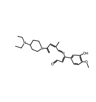 C=C(\C=C(C)/C=N/C(=C\C=O)c1ccc(OC)c(O)c1)N1CCC(N(CC)CC)CC1